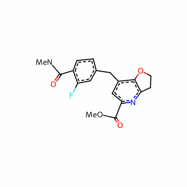 CNC(=O)c1ccc(Cc2cc(C(=O)OC)nc3c2OCC3)cc1F